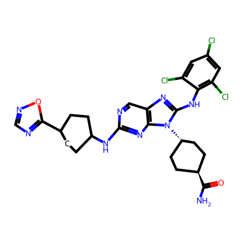 NC(=O)[C@H]1CC[C@H](n2c(Nc3c(Cl)cc(Cl)cc3Cl)nc3cnc(NC4CCC(c5ncno5)CC4)nc32)CC1